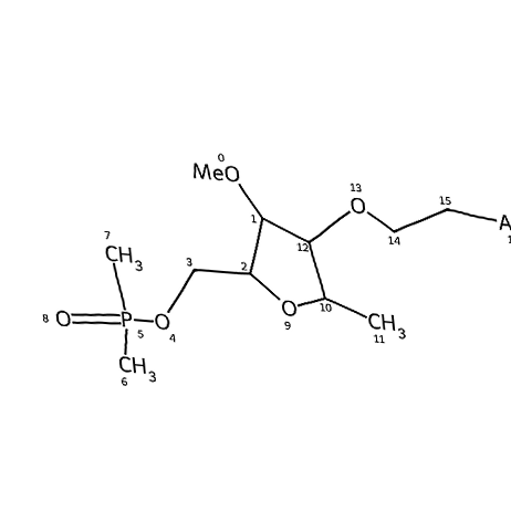 COC1C(COP(C)(C)=O)OC(C)C1OCCC(C)=O